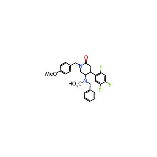 COc1ccc(CN2CC(N(Cc3ccccc3)C(=O)O)C(c3cc(F)c(F)cc3F)CC2=O)cc1